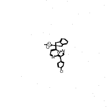 CC1OC(C2(c3ccnc4c(-c5ccc(Cl)cc5)cnn34)Cc3ccccc3C2)O1